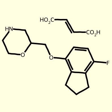 Fc1ccc(OCC2CNCCO2)c2c1CCC2.O=C(O)/C=C/C(=O)O